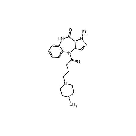 CCn1ncc2c1C(=O)Nc1ccccc1N2C(=O)CCCN1CCN(C)CC1